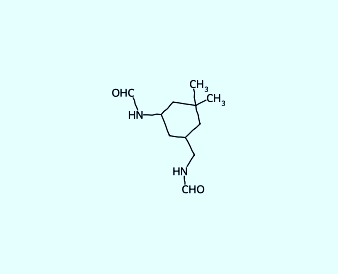 CC1(C)CC(CNC=O)CC(NC=O)C1